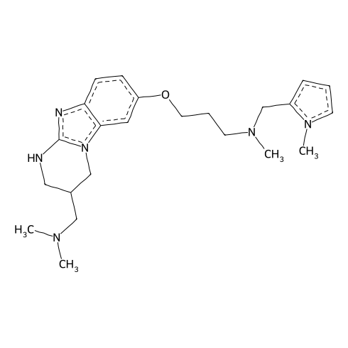 CN(C)CC1CNc2nc3ccc(OCCCN(C)Cc4cccn4C)cc3n2C1